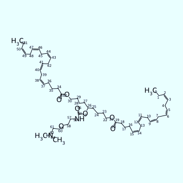 CC/C=C\C/C=C\C/C=C\C/C=C\C/C=C\CCCC(=O)OCCCCC(CCCCOC(=O)CCC/C=C\C/C=C\C/C=C\C/C=C\C/C=C\CC)OC(=O)NCCOCCN(C)C